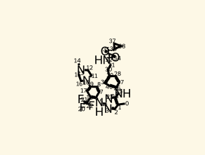 Cc1cnc(Nc2ccc(N3CCN(C)CC3)cc2C(F)(F)F)nc1Nc1ccc(CCNS(=O)(=O)C2CC2)cc1